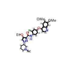 CCOc1cn(C2CCCN(C(C)=O)C2)nc1C(=O)Nc1ccc(Oc2ccnc3cc(OC)c(OC)cc23)cc1F